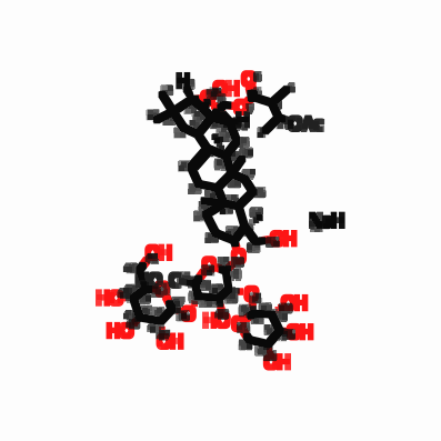 CC(=O)OC(C)C(C)C(=O)OCC12C3CC(C)(C)[C@H](O[C@@H]1C[C@]1(C)C3=CCC3C4(C)CCC(O[C@@H]5O[C@H](C(=O)O)[C@@H](O[C@H]6O[C@H](CO)[C@@H](O)[C@H](O)[C@H]6O)[C@H](O)[C@H]5O[C@@H]5OC[C@@H](O)[C@H](O)[C@H]5O)[C@](C)(CO)C4CCC31C)C2O.[NaH]